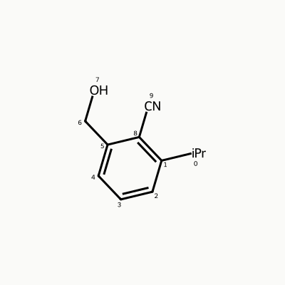 [CH2]C(C)c1cccc(CO)c1C#N